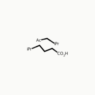 CC(=O)CC(C)C.CC(C)CCCC(=O)O